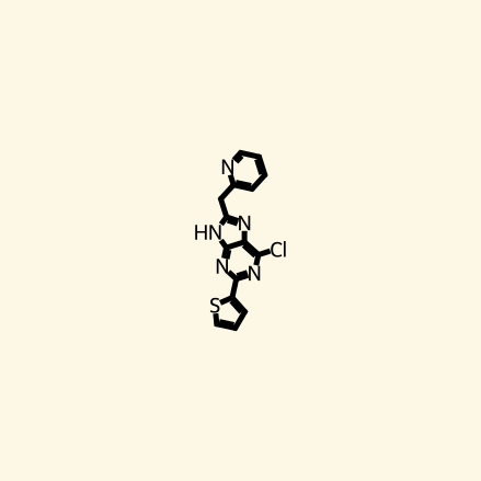 Clc1nc(-c2cccs2)nc2[nH]c(Cc3ccccn3)nc12